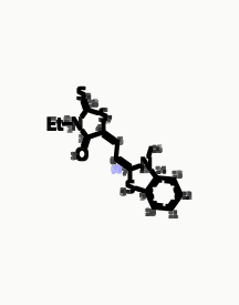 CCN1C(=O)C(=C/C=C2/Sc3ccccc3N2C)SC1=S